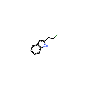 ClCCc1cc2ccccc2[nH]1